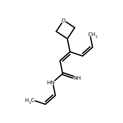 C/C=C\NC(=N)/C=C(\C=C/C)C1COC1